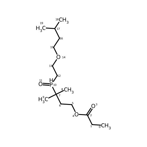 CCC(=O)OCCC(C)(C)[PH](=O)CCOCCC(C)C